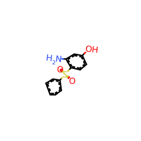 Nc1cc(O)ccc1S(=O)(=O)c1ccccc1